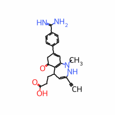 C#CC1=CC(CCC(=O)O)C2=C(C=C(c3ccc(C(=N)N)cc3)CC2=O)N(C)N1